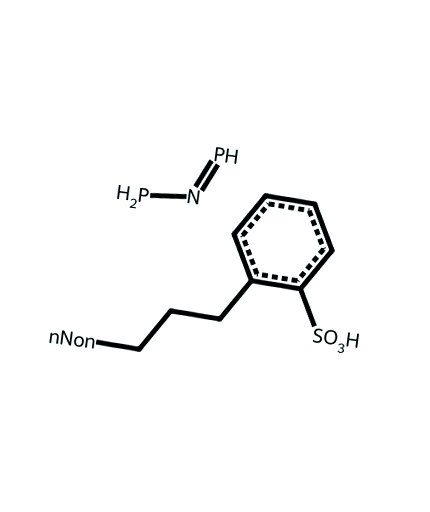 CCCCCCCCCCCCc1ccccc1S(=O)(=O)O.P=NP